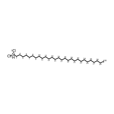 Cl[SiH](Cl)CCCCCCCCCCCCCCCCCCCCCCCCCCCI